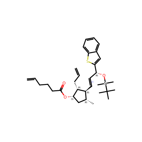 C=CCCCC(=O)O[C@H]1C[C@@H](C)[C@H](/C=C/[C@@H](O[Si](C)(C)C(C)(C)C)c2cc3ccccc3s2)[C@H]1CC=C